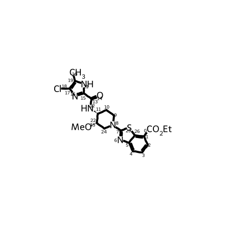 CCOC(=O)c1cccc2nc(N3CC[C@@H](NC(=O)c4nc(Cl)c(C)[nH]4)[C@@H](OC)C3)sc12